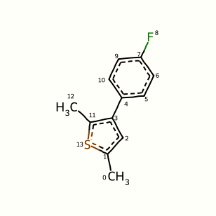 Cc1cc(-c2ccc(F)cc2)c(C)s1